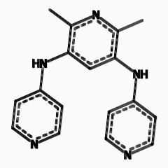 Cc1nc(C)c(Nc2ccncc2)cc1Nc1ccncc1